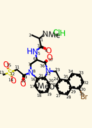 CNC(C)C(=O)NC1CN(C(=O)CS(C)(=O)=O)c2ccccc2N(Cc2c(OC)ccc3c(Br)cccc23)C1=O.Cl